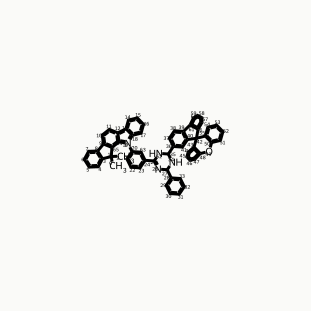 CC1(C)c2ccccc2-c2ccc3c4ccccc4n(-c4cccc(C5=NC(c6ccccc6)NC(c6ccc7c(c6)C6(c8ccccc8Oc8ccccc86)c6ccccc6-7)N5)c4)c3c21